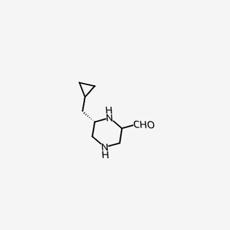 O=CC1CNC[C@H](CC2CC2)N1